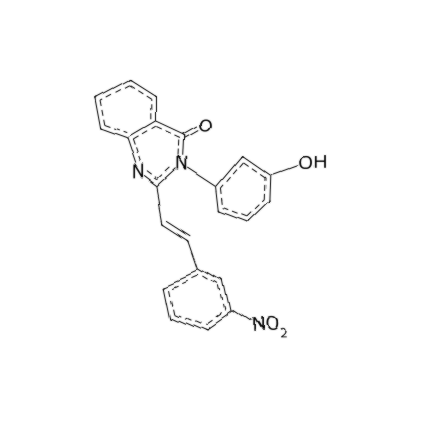 O=c1c2ccccc2nc(/C=C/c2cccc([N+](=O)[O-])c2)n1-c1cccc(O)c1